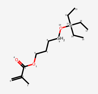 C=C(C)C(=O)OCCC[SiH2]O[Si](CC)(CC)CC